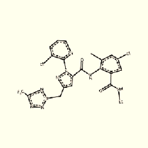 CCNC(=O)c1cc(Cl)cc(C)c1NC(=O)c1cc(Cn2nnc(C(F)(F)F)n2)nn1-c1ncccc1Cl